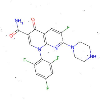 NC(=O)c1cn(-c2c(F)cc(F)cc2F)c2nc(N3CCNCC3)c(F)cc2c1=O